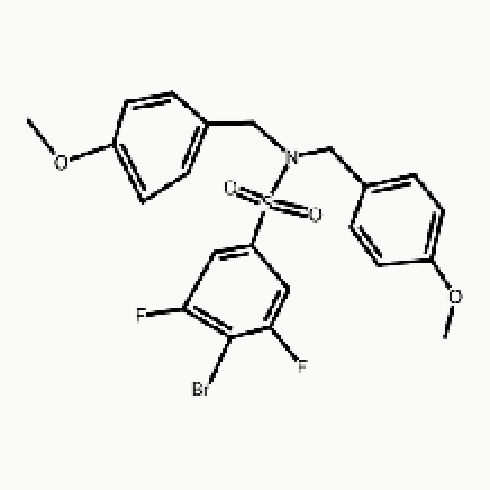 COc1ccc(CN(Cc2ccc(OC)cc2)S(=O)(=O)c2cc(F)c(Br)c(F)c2)cc1